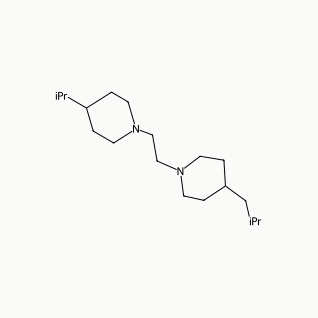 CC(C)CC1CCN(CCN2CCC(C(C)C)CC2)CC1